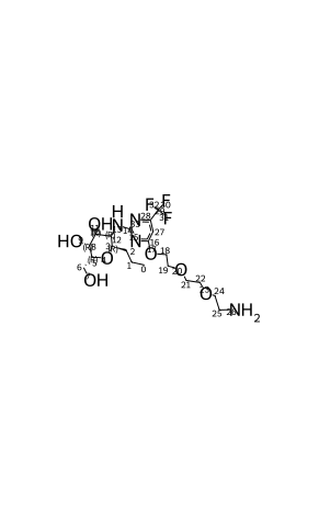 CCC[C@H]1O[C@H](CO)[C@H](O)[C@H](O)[C@H]1Nc1nc(OCCOCCOCCN)cc(C(F)(F)F)n1